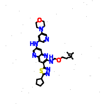 C[Si](C)(C)CCOCNc1nc2cc(Nc3cncc(N4CCOCC4)c3)cnc2cc1-c1nnc(C2CCCC2)s1